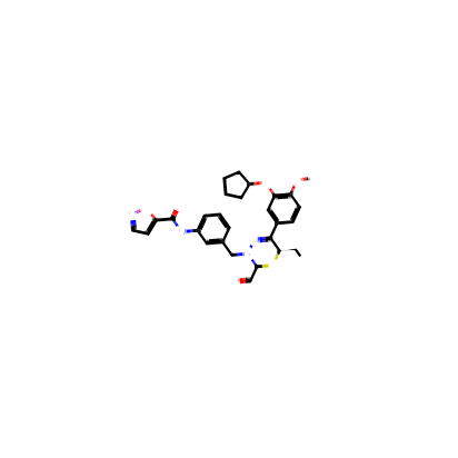 CC[C@H]1SC(C=O)N(Cc2cccc(NC(=O)c3ccno3)c2)N=C1c1ccc(OC)c(OC2CCCC2)c1